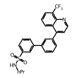 CCCNS(=O)(=O)c1cccc(-c2cccc(-c3ccnc4c(C(F)(F)F)cccc34)c2)c1